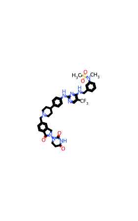 CN(c1cccc(CNc2nc(Nc3ccc(C4CCN(Cc5ccc6c(c5)CN(N5CCC(=O)NC5=O)C6=O)CC4)cc3)ncc2C(F)(F)F)c1)S(C)(=O)=O